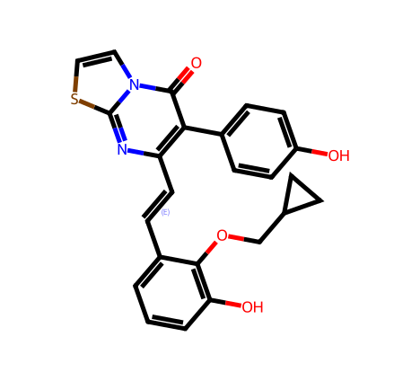 O=c1c(-c2ccc(O)cc2)c(/C=C/c2cccc(O)c2OCC2CC2)nc2sccn12